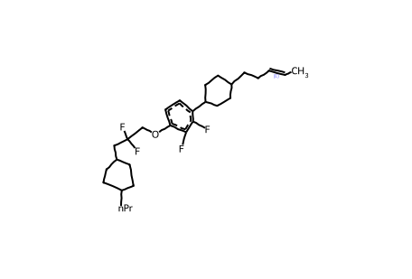 C/C=C/CCC1CCC(c2ccc(OCC(F)(F)CC3CCC(CCC)CC3)c(F)c2F)CC1